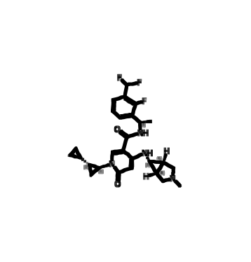 C[C@@H](NC(=O)c1cn([C@H]2C[C@@H]2C2CC2)c(=O)cc1N[C@@H]1[C@@H]2CN(C)C[C@@H]21)c1cccc(C(F)F)c1F